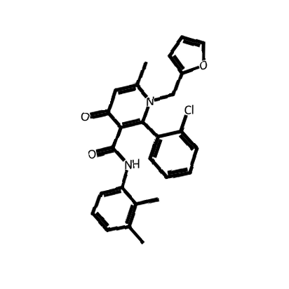 Cc1cccc(NC(=O)c2c(-c3ccccc3Cl)n(Cc3ccco3)c(C)cc2=O)c1C